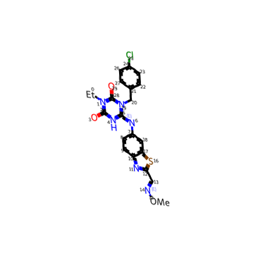 CCn1c(=O)[nH]/c(=N\c2ccc3nc(/C=N/OC)sc3c2)n(Cc2ccc(Cl)cc2)c1=O